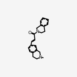 CN1CCc2ccc(C=CC(=O)N3CCc4ccccc4C3)cc2C1